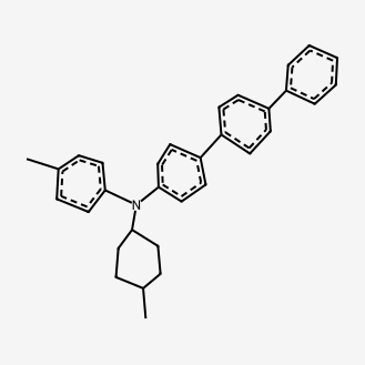 Cc1ccc(N(c2ccc(-c3ccc(-c4ccccc4)cc3)cc2)C2CCC(C)CC2)cc1